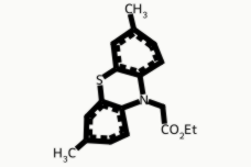 CCOC(=O)CN1c2ccc(C)cc2Sc2cc(C)ccc21